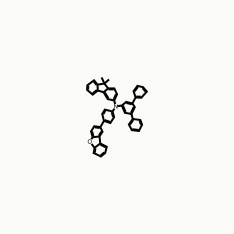 CC1(C)c2ccccc2-c2cc(N(c3ccc(-c4ccc5oc6ccccc6c5c4)cc3)c3cc(-c4ccccc4)cc(-c4ccccc4)c3)ccc21